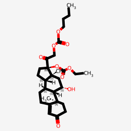 CCCCOC(=O)OCC(=O)[C@@]1(OC(=O)OCC)CC[C@H]2[C@@H]3CCC4=CC(=O)CC[C@]4(C)[C@H]3[C@@H](O)C[C@@]21C